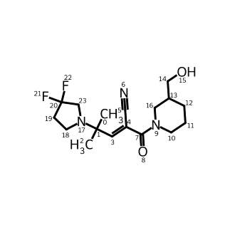 CC(C)(C=C(C#N)C(=O)N1CCCC(CO)C1)N1CCC(F)(F)C1